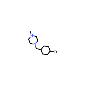 CCC1CCC(CN2CCN(C)CC2)CC1